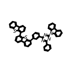 c1ccc(-c2nc(-c3cccc(-c4cccc5c4sc4c(-c6cccc7c6sc6ccccc67)cccc45)c3)nc(-n3c4ccccc4c4ccccc43)n2)cc1